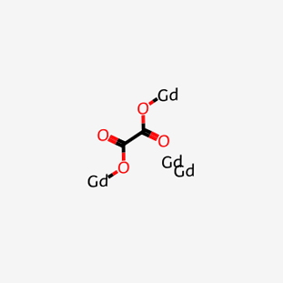 O=C([O][Gd])C(=O)[O][Gd].[Gd].[Gd]